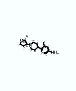 Cc1cc(N)cnc1C1CCN(C2CCO[C@@H]2C)CC1